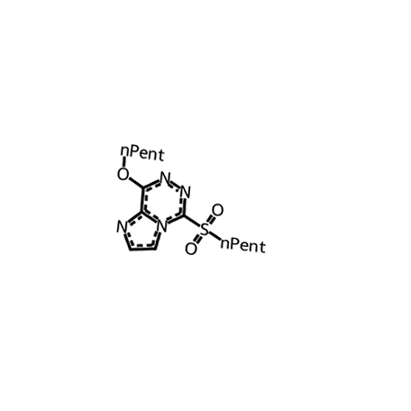 CCCCCOc1nnc(S(=O)(=O)CCCCC)n2ccnc12